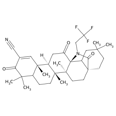 CC1(C)CC[C@]23CC[C@@]4(C)[C@]5(C)CCC6C(C)(C)C(=O)C(C#N)=C[C@]6(C)[C@H]5CC(=O)[C@@]4(C2C1)N(CC(F)(F)F)C3=O